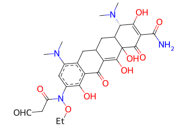 CCON(C(=O)CC=O)c1cc(N(C)C)c2c(c1O)C(=O)C1=C(O)C3(O)C(=O)C(C(N)=O)=C(O)[C@@H](N(C)C)C3CC1C2